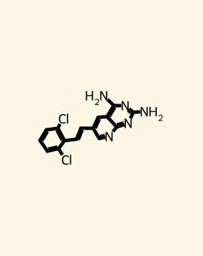 Nc1nc(N)c2cc(/C=C/c3c(Cl)cccc3Cl)cnc2n1